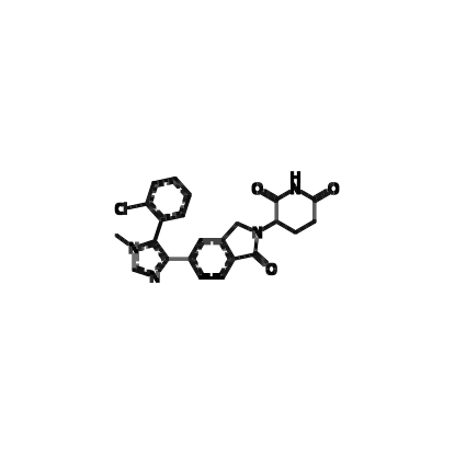 Cn1cnc(-c2ccc3c(c2)CN(C2CCC(=O)NC2=O)C3=O)c1-c1ccccc1Cl